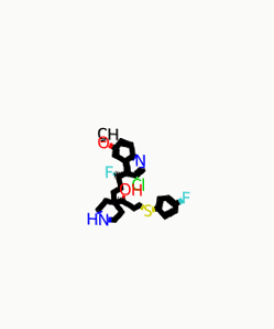 COc1ccc2ncc(Cl)c([C@H](F)CCC3([C@@H](O)CCSc4ccc(F)cc4)CCNCC3)c2c1